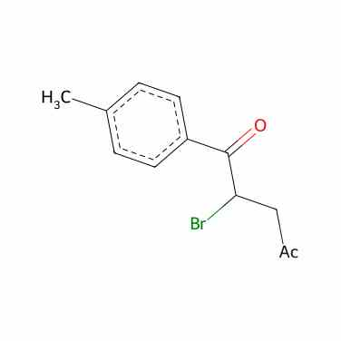 CC(=O)CC(Br)C(=O)c1ccc(C)cc1